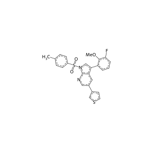 COc1c(F)cccc1-c1cn(S(=O)(=O)c2ccc(C)cc2)c2ncc(-c3ccsc3)cc12